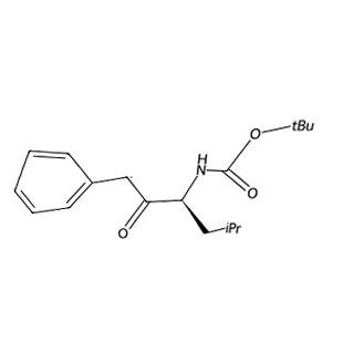 CC(C)C[C@H](NC(=O)OC(C)(C)C)C(=O)[CH]c1ccccc1